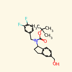 CC(C)(C)OC(=O)N(Cc1ccc(F)c(F)c1)C1CCc2cc(CO)ccc21